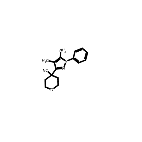 Cc1c(C2(C#N)CCOCC2)nn(-c2ccccc2)c1N